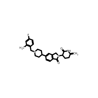 C=C1CCC(N2Cc3cc(C4CCN(Cc5ccc(F)cc5C)CC4)ccc3C2=O)C(=O)N1